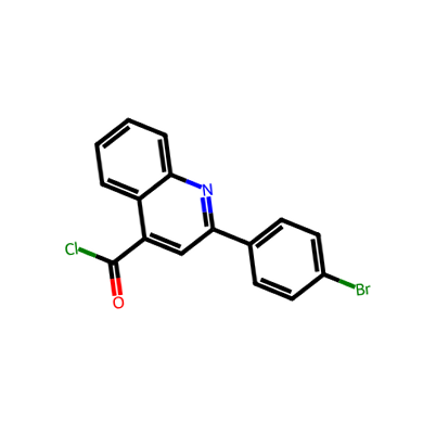 O=C(Cl)c1cc(-c2ccc(Br)cc2)nc2ccccc12